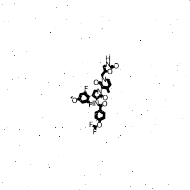 COc1cc(F)c([C@@H]2CN(c3c(C)ccn(CC4CNC(=O)O4)c3=O)C(=O)[C@H]2NC(=O)c2ccc(OC(F)F)cc2)c(F)c1